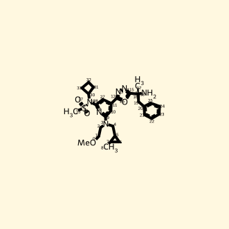 COCCN(CC1CC1C)c1cc(-c2nnc([C@](C)(N)Cc3ccccc3)o2)cc(N(C2CCC2)S(C)(=O)=O)n1